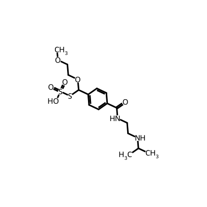 COCCOC(SS(=O)(=O)O)c1ccc(C(=O)NCCNC(C)C)cc1